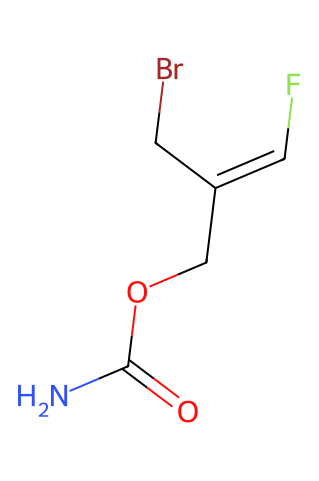 NC(=O)OCC(=CF)CBr